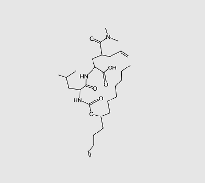 C=CCCCC(CCCCCCC)OC(=O)NC(CC(C)C)C(=O)NC(CC(CC=C)C(=O)N(C)C)C(=O)O